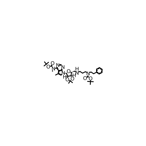 Cc1cn([C@H]2O[C@@H](CNCCCN(CCc3ccccc3)C(=O)OC(C)(C)C)[C@@H]3OC(C)(C)O[C@@H]32)c2ncnc(N(C)C(=O)OC(C)(C)C)c12